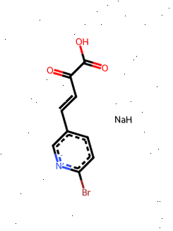 O=C(O)C(=O)C=Cc1ccc(Br)nc1.[NaH]